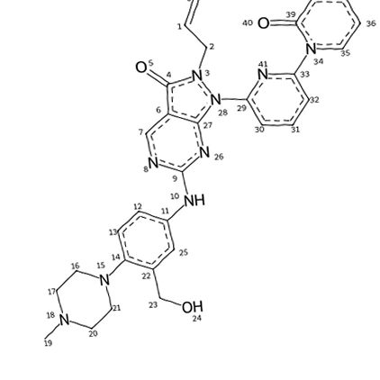 C=CCn1c(=O)c2cnc(Nc3ccc(N4CCN(C)CC4)c(CO)c3)nc2n1-c1cccc(-n2ccccc2=O)n1